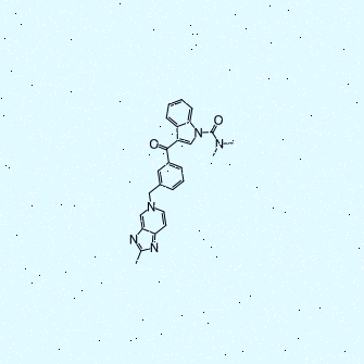 Cc1nc2ccn(Cc3cccc(C(=O)c4cn(C(=O)N(C)C)c5ccccc45)c3)cc-2n1